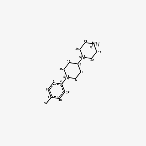 Cc1ccc(N2CCC(N3CCNCC3)CC2)cc1